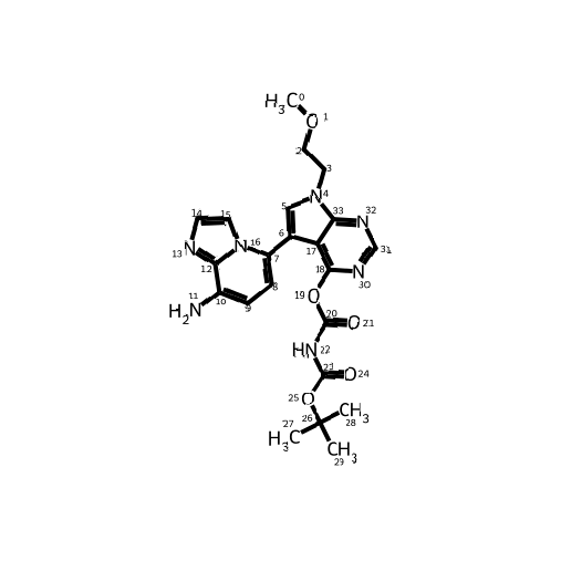 COCCn1cc(-c2ccc(N)c3nccn23)c2c(OC(=O)NC(=O)OC(C)(C)C)ncnc21